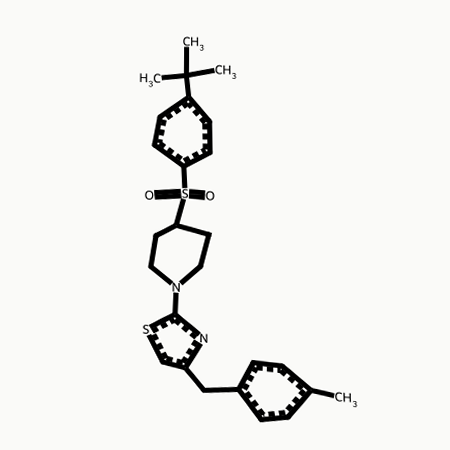 Cc1ccc(Cc2csc(N3CCC(S(=O)(=O)c4ccc(C(C)(C)C)cc4)CC3)n2)cc1